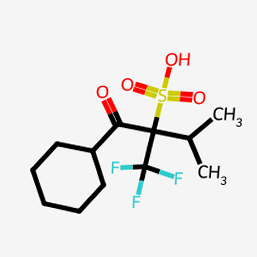 CC(C)C(C(=O)C1CCCCC1)(C(F)(F)F)S(=O)(=O)O